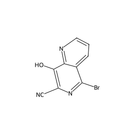 N#Cc1nc(Br)c2cccnc2c1O